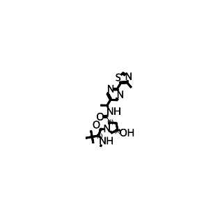 CN[C@H](C(=O)N1C[C@H](O)C[C@H]1C(=O)NC(C)c1cnc(-c2scnc2C)nc1)C(C)(C)C